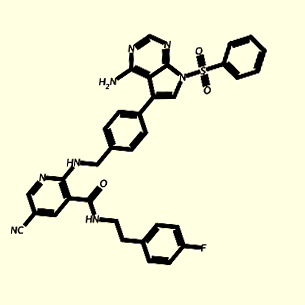 N#Cc1cnc(NCc2ccc(-c3cn(S(=O)(=O)c4ccccc4)c4ncnc(N)c34)cc2)c(C(=O)NCCc2ccc(F)cc2)c1